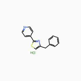 Cl.c1ccc(Cc2csc(-c3ccncc3)n2)cc1